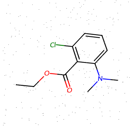 CCOC(=O)c1c(Cl)cccc1N(C)C